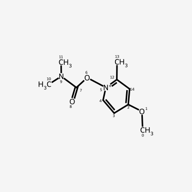 COc1cc[n+](OC(=O)N(C)C)c(C)c1